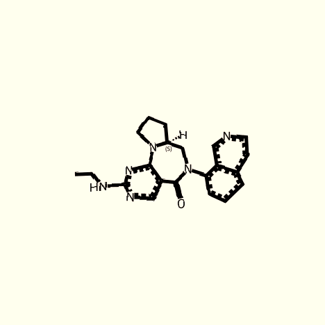 CCNc1ncc2c(n1)N1CCC[C@H]1CN(c1cccc3ccncc13)C2=O